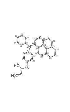 C=CC(O)Oc1ccc(N(c2ccccc2)c2ccc3c4c5c(ccc24)CC=CC5=CC3)cc1